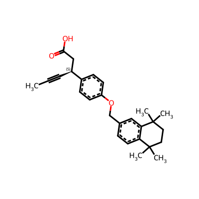 CC#C[C@@H](CC(=O)O)c1ccc(OCc2ccc3c(c2)C(C)(C)CCC3(C)C)cc1